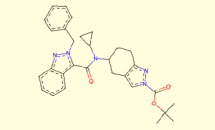 CC(C)(C)OC(=O)n1cc2c(n1)CCC(N(C(=O)c1c3ccccc3nn1Cc1ccccc1)C1CC1)C2